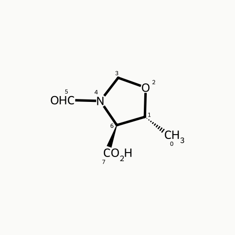 C[C@H]1OCN(C=O)[C@@H]1C(=O)O